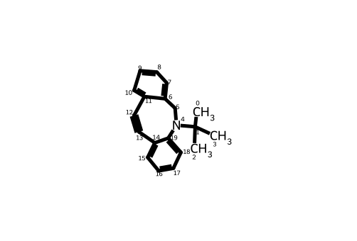 CC(C)(C)N1Cc2ccccc2C#Cc2ccccc21